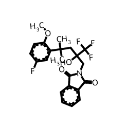 COc1ccc(F)cc1C(C)(C)CC(O)(CN1C(=O)c2ccccc2C1=O)C(F)(F)F